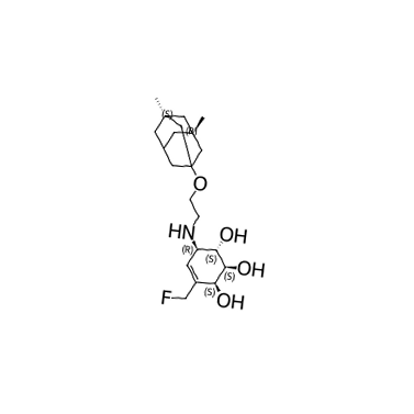 C[C@]12CC3CC(OCCN[C@@H]4C=C(CF)[C@H](O)[C@H](O)[C@H]4O)(C1)C[C@@](C)(C3)C2